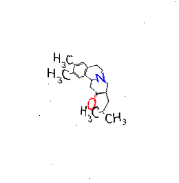 Cc1cc2c(cc1C)C1CC(=O)C(CC(C)C)CN1CC2